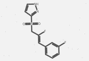 O=S(=O)(CC(F)=Cc1cccc(F)c1)c1cc[nH]n1